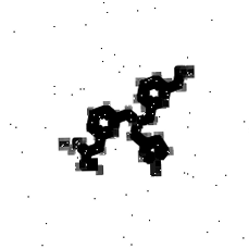 CC(C)Cc1cccc(CN(Cc2cc[nH]n2)Cc2cccc(CO)n2)n1